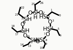 CC[SiH]1O[SiH](CC)O[SiH](CC)O[SiH](CC)O[SiH](CC)O[SiH](CC)O[SiH](CC)O1